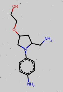 NCC1CC(OCCO)CN1c1ccc(N)cc1